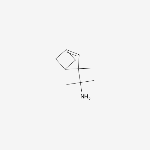 CC(C)(N)C1(C)C=C2CC1C2